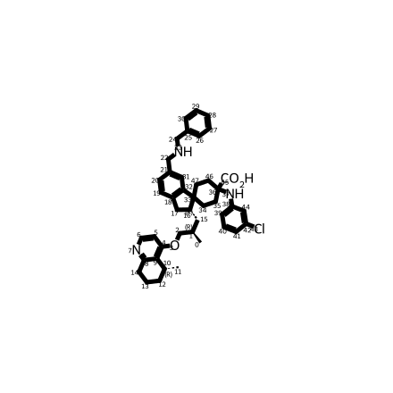 C[C@@H](COc1ccnc2c1[C@H](C)CCC2)C[C@@H]1Cc2ccc(CNCc3ccccc3)cc2C12CCC(Nc1cccc(Cl)c1)(C(=O)O)CC2